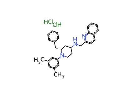 Cc1cc(C)cc(N2CC[C@H](NCc3ccc4ccccc4n3)C[C@H]2Cc2ccccc2)c1.Cl.Cl